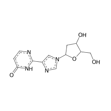 O=c1ccnc(-c2cn(C3CC(O)C(CO)O3)cn2)[nH]1